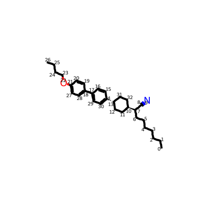 CCCCCCCC(C#N)[C@H]1CC[C@H](c2ccc(-c3ccc(OCCCC)cc3)cc2)CC1